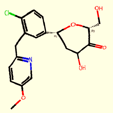 COc1ccc(Cc2cc([C@H]3CC(O)C(=O)[C@@H](CO)O3)ccc2Cl)nc1